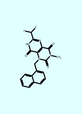 Cn1c(=O)c2nc(C(F)F)[nH]c(=O)c2n(Cc2cccc3ccccc23)c1=O